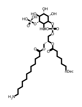 CCCCCCCCCCCCCCCC(=O)O[C@H](COC(=O)CCCCCCCCCCCN)COP(=O)(O)OC1C(O)[C@H](OP(=O)(O)O)C(O)[C@H](O)[C@@H]1O